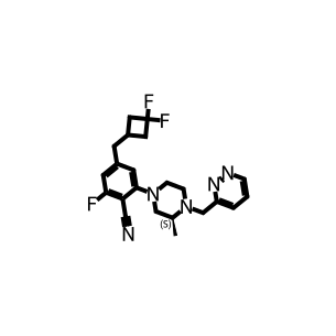 C[C@H]1CN(c2cc(CC3CC(F)(F)C3)cc(F)c2C#N)CCN1Cc1cccnn1